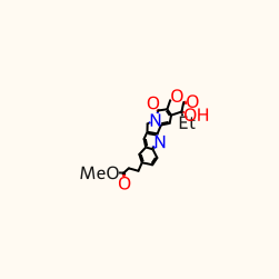 CCC1(O)C(=O)OCc2c1cc1n(c2=O)Cc2cc3cc(CCC(=O)OC)ccc3nc2-1